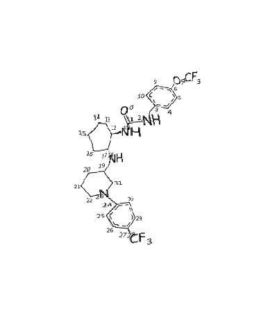 O=C(Nc1ccc(OC(F)(F)F)cc1)N[C@@H]1CCCC[C@H]1NC1CCCN(c2ccc(C(F)(F)F)cc2)C1